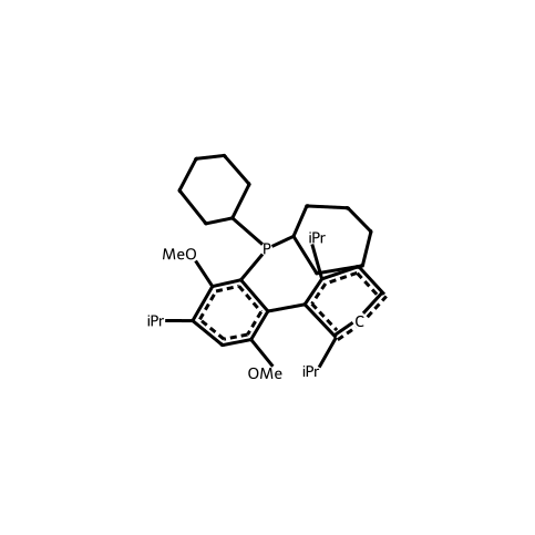 COc1cc(C(C)C)c(OC)c(P(C2CCCCC2)C2CCCCC2)c1-c1c(C(C)C)cccc1C(C)C